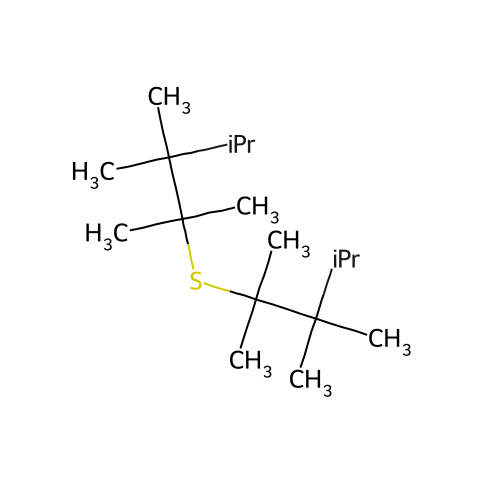 CC(C)C(C)(C)C(C)(C)SC(C)(C)C(C)(C)C(C)C